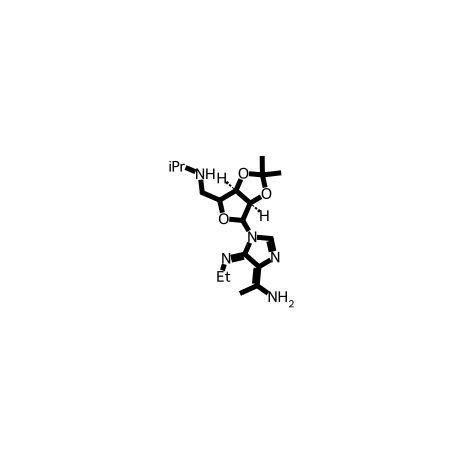 CC/N=C1\C(=C(/C)N)N=CN1C1OC(CNC(C)C)[C@H]2OC(C)(C)O[C@@H]12